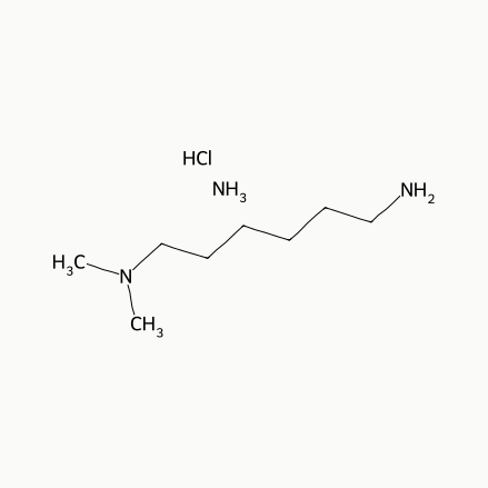 CN(C)CCCCCCN.Cl.N